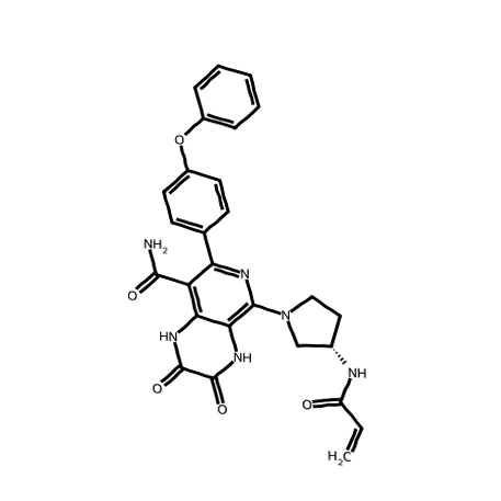 C=CC(=O)N[C@H]1CCN(c2nc(-c3ccc(Oc4ccccc4)cc3)c(C(N)=O)c3[nH]c(=O)c(=O)[nH]c23)C1